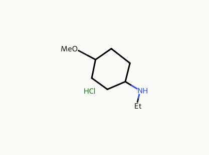 CCNC1CCC(OC)CC1.Cl